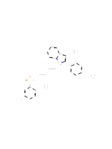 COc1ccc(-c2c(C)c3cccc4c3n2CC(CCOS(=O)(=O)c2cc(O)ccc2C)O4)cc1